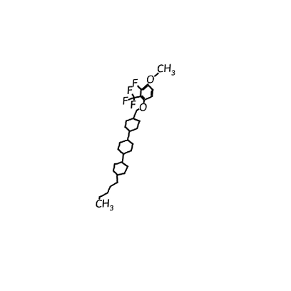 CCCCCC1CCC(C2CCC(C3CCC(COc4ccc(OCC)c(F)c4C(F)(F)F)CC3)CC2)CC1